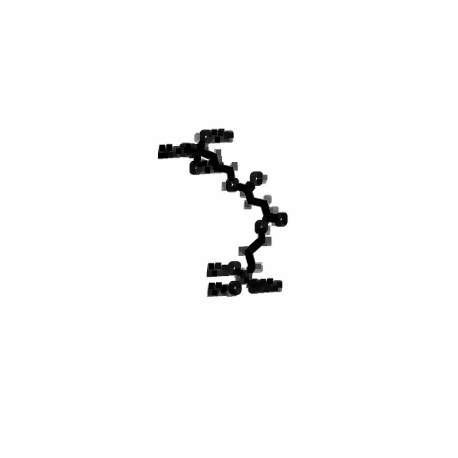 CO[Si](CCCOC(=O)CCC(=O)OCCC[Si](OC)(OC)OC)(OC)OC